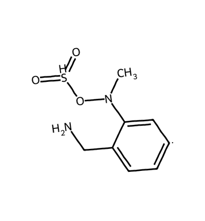 CN(O[SH](=O)=O)c1c[c]ccc1CN